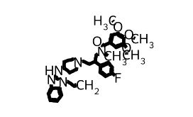 C=CCn1c(NC2CCN(CCC(CN(C)C(=O)c3cc(OC)c(OC)c(OC)c3)c3ccc(F)cc3)CC2)nc2ccccc21